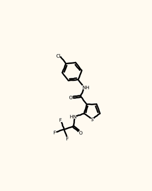 O=C(Nc1ccc(Cl)cc1)c1ccsc1NC(=O)C(F)(F)F